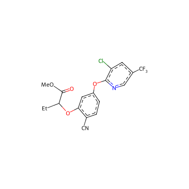 CCC(Oc1cc(Oc2ncc(C(F)(F)F)cc2Cl)ccc1C#N)C(=O)OC